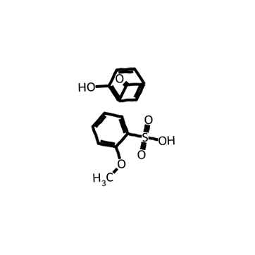 COc1ccccc1S(=O)(=O)O.O=C1c2ccc(O)c1c2